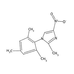 Cc1cc(C)c(-n2cc([N+](=O)[O-])nc2C)c(C)c1